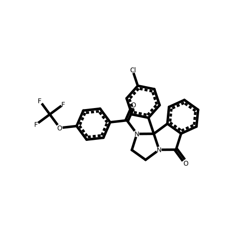 O=C(c1ccc(OC(F)(F)F)cc1)N1CCN2C(=O)c3ccccc3C12c1ccc(Cl)cc1